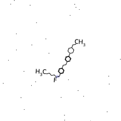 CCCCC/C(F)=C\c1ccc(CCc2ccc(C3CCC(CCC)CC3)cc2)cc1